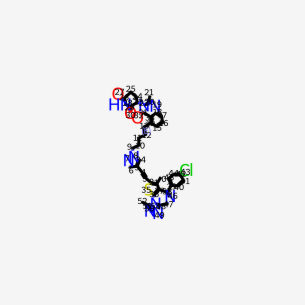 Cc1c(C#Cc2cnn(CCC/C=C/c3cccc4nc(C)n(C5CCC(=O)NC5=O)c(=O)c34)c2)sc2c1C(c1ccc(Cl)cc1)=NCc1nnc(C)n1-2